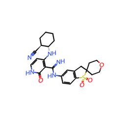 N#C[C@H]1CCCC[C@@H]1Nc1cc[nH]c(=O)c1C(=N)Nc1ccc2c(c1)CC1(CCOCC1)S2(=O)=O